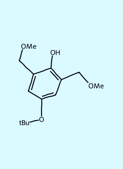 COCc1cc(OC(C)(C)C)cc(COC)c1O